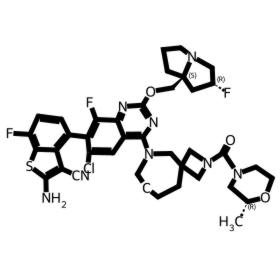 C[C@@H]1CN(C(=O)N2CC3(CCCCN(c4nc(OC[C@@]56CCCN5C[C@H](F)C6)nc5c(F)c(-c6ccc(F)c7sc(N)c(C#N)c67)c(Cl)cc45)C3)C2)CCO1